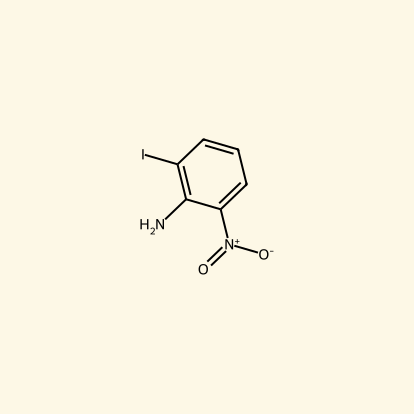 Nc1c(I)cccc1[N+](=O)[O-]